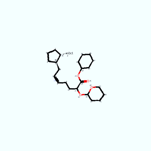 CCCCCCCC[C@H]1CCC[C@@H]1C/C=C\CCC(OC1CCCCO1)C(=O)OC1CCCCC1